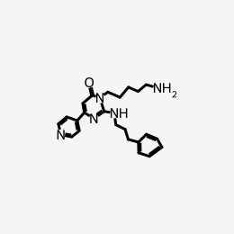 NCCCCCn1c(NCCCc2ccccc2)nc(-c2ccncc2)cc1=O